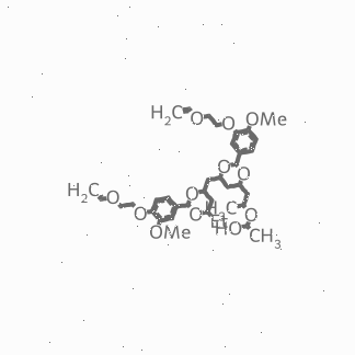 C=COCCOc1ccc(C2OC(CC)CC(CC3CC(CC(C)OC(C)O)OC(c4ccc(OC)c(OCCOC=C)c4)O3)O2)cc1OC